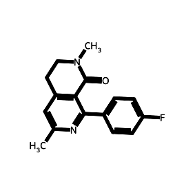 Cc1cc2c(c(-c3ccc(F)cc3)n1)C(=O)N(C)CC2